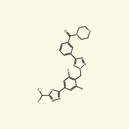 O=C(c1cccc(-c2nnn(Cc3c(F)cc(-c4nnc(C(F)F)o4)cc3F)n2)c1)N1CCOCC1